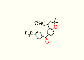 CC1(C)CC(C=O)c2cc(C(=O)c3ccc(C(F)(F)F)cc3)ccc2O1